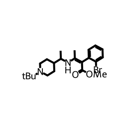 COC(=O)C(=C(C)NC(C)C1CCN(C(C)(C)C)CC1)c1ccccc1Br